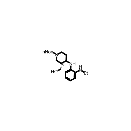 CCCCCCCCCN1CCC(Nc2ccccc2NCC)[C@H](CO)C1